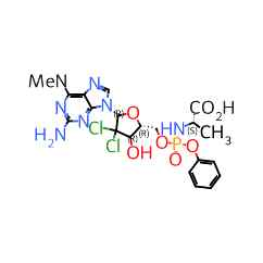 CNc1nc(N)nc2c1ncn2[C@@H]1O[C@H](COP(=O)(N[C@@H](C)C(=O)O)Oc2ccccc2)[C@@H](O)C1(Cl)Cl